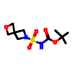 CC(C)(C)OC(=O)NS(=O)(=O)N1CC2(COC2)C1